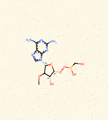 COC1[C@@H](O)[C@@H](OOP(O)CO)O[C@H]1n1cnc2c(N)nc(N)nc21